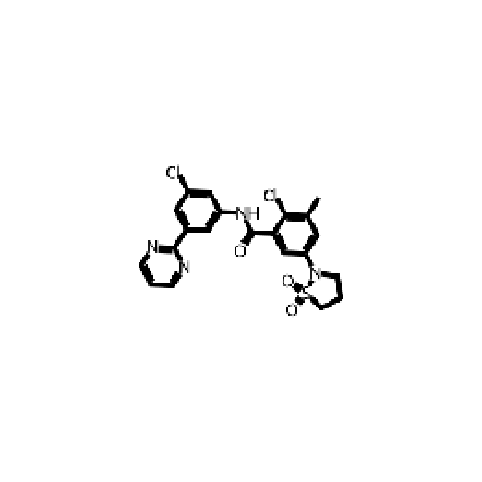 Cc1cc(N2CCCS2(=O)=O)cc(C(=O)Nc2cc(Cl)cc(-c3ncccn3)c2)c1Cl